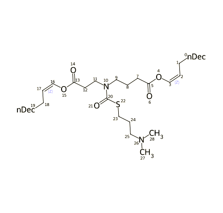 CCCCCCCCCCC/C=C\OC(=O)CCCN(CCC(=O)O/C=C\CCCCCCCCCCC)C(=O)SCCCN(C)C